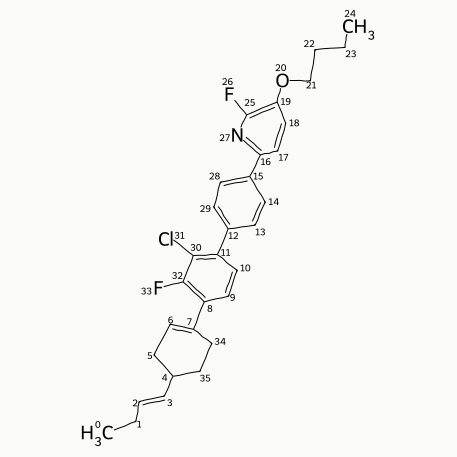 CC/C=C/C1CC=C(c2ccc(-c3ccc(-c4ccc(OCCCC)c(F)n4)cc3)c(Cl)c2F)CC1